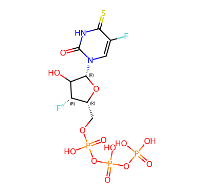 O=c1[nH]c(=S)c(F)cn1[C@@H]1O[C@H](COP(=O)(O)OP(=O)(O)OP(=O)(O)O)[C@H](F)C1O